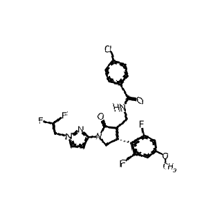 COc1cc(F)c([C@@H]2CN(c3ccn(CC(F)F)n3)C(=O)C2CNC(=O)c2ccc(Cl)cc2)c(F)c1